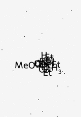 CCOP(=O)(OCC)C(C)(Nc1ccc(OC)cc1)P(=O)(OCC)OCC